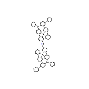 C1=C(/C=C/c2ccc3c(c2)C2(c4ccccc4-c4ccccc42)c2cc(N(c4ccccc4)c4ccc(-c5ccccc5)cc4)ccc2-3)CCC2=C1C1(c3cc(N(c4ccccc4)c4ccc(-c5ccccc5)cc4)ccc32)c2ccccc2-c2ccccc21